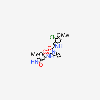 COC(=O)[C@H](C[C@@H]1CCNC1=O)NC(=O)C1CC2(CCC2)CN1C(=O)c1cc2c(Cl)c(OC)ccc2[nH]1